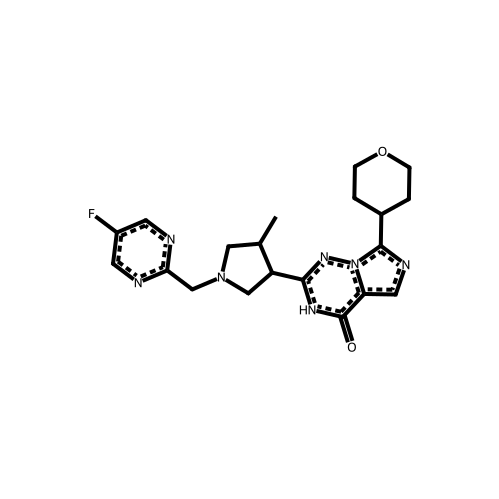 CC1CN(Cc2ncc(F)cn2)CC1c1nn2c(C3CCOCC3)ncc2c(=O)[nH]1